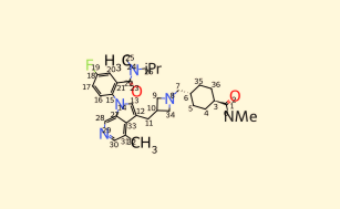 CNC(=O)[C@H]1CC[C@H](CN2CC(Cc3cn(-c4ccc(F)cc4C(=O)N(C)C(C)C)c4cncc(C)c34)C2)CC1